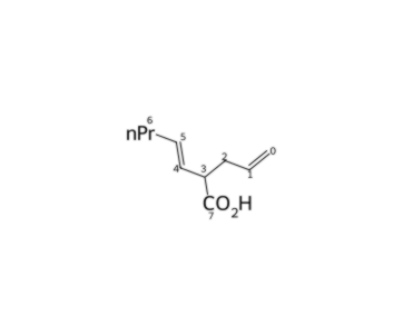 C=CCC(C=CCCC)C(=O)O